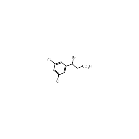 O=C(O)CC(Br)c1cc(Cl)cc(Cl)c1